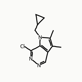 Cc1c(C)n(CC2CC2)c2c(Cl)nncc12